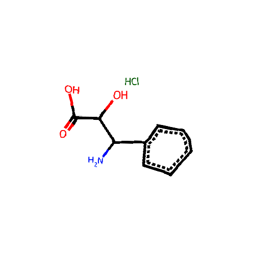 Cl.NC(c1ccccc1)C(O)C(=O)O